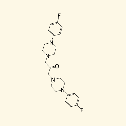 O=C(CN1CCN(c2ccc(F)cc2)CC1)CN1CCN(c2ccc(F)cc2)CC1